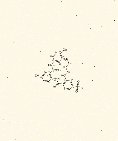 CS(=O)(=O)c1ccc(C(=O)Nc2ccc(Cl)cc2C(=O)Nc2ccc(Cl)cn2)c(OCCCN)c1